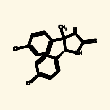 CC1(c2ccc(Cl)cc2)NC(=S)N[C@@H]1c1ccc(Cl)cc1